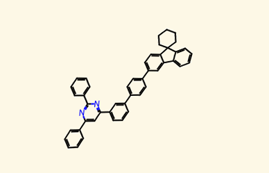 c1ccc(-c2cc(-c3cccc(-c4ccc(-c5ccc6c(c5)-c5ccccc5C65CCCCC5)cc4)c3)nc(-c3ccccc3)n2)cc1